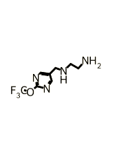 NCCNCc1cnc(OC(F)(F)F)nc1